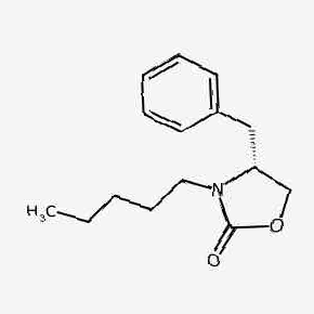 CCCCCN1C(=O)OC[C@H]1Cc1ccccc1